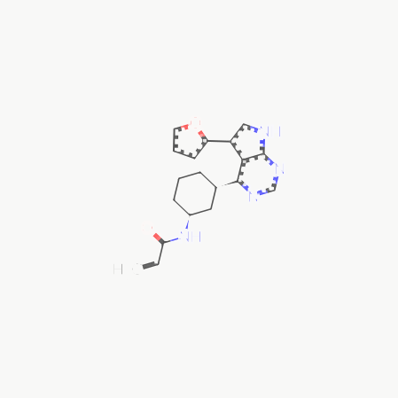 C=CC(=O)N[C@H]1CCC[C@@H](c2ncnc3[nH]cc(-c4ccco4)c23)C1